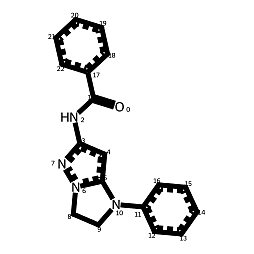 O=C(Nc1cc2n(n1)CCN2c1ccccc1)c1ccccc1